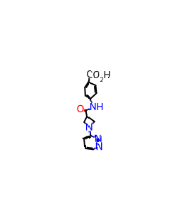 O=C(O)c1ccc(NC(=O)C2CN(c3cccnn3)C2)cc1